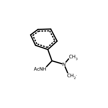 [CH2]N(C)C(NC(C)=O)c1ccccc1